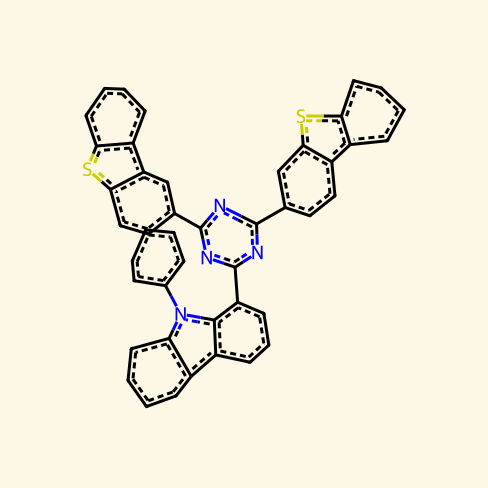 c1ccc(-n2c3ccccc3c3cccc(-c4nc(-c5ccc6c(c5)sc5ccccc56)nc(-c5ccc6sc7ccccc7c6c5)n4)c32)cc1